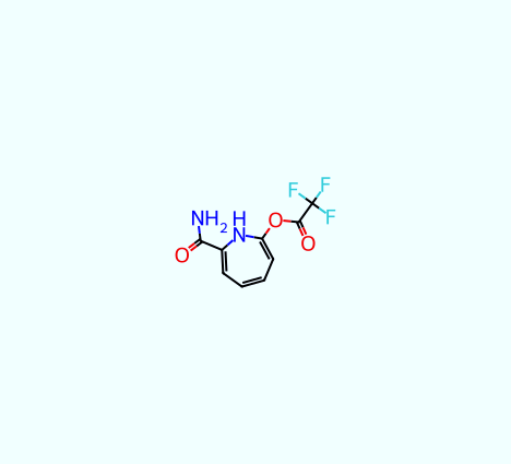 NC(=O)C1=CC=CC=C(OC(=O)C(F)(F)F)N1